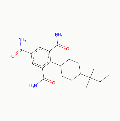 CCC(C)(C)C1CCC(c2c(C(N)=O)cc(C(N)=O)cc2C(N)=O)CC1